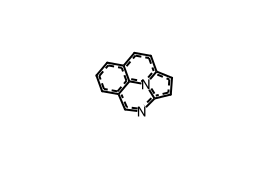 c1cc2ccc3ccc4ncc(c1)c2n34